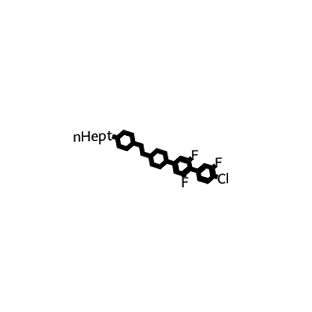 CCCCCCCC1CCC(CCC2CCC(c3cc(F)c(-c4ccc(Cl)c(F)c4)c(F)c3)CC2)CC1